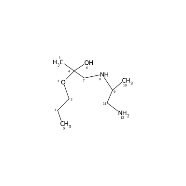 CCCOC(C)(O)CNC(C)CN